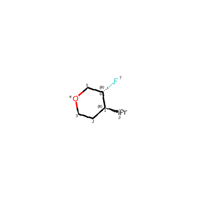 CC(C)[C@H]1CCOC[C@@H]1F